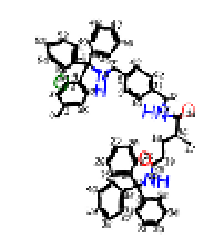 Cc1ccc(C(NCc2ccc(CNC(=O)[C@@H](C)CCC(=O)NC(c3ccccc3)(c3ccccc3)c3ccccc3)cc2)(c2ccccc2)c2ccccc2Cl)cc1